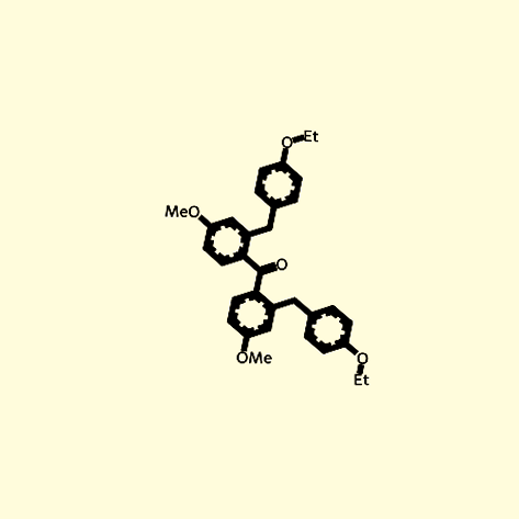 CCOc1ccc(Cc2cc(OC)ccc2C(=O)c2ccc(OC)cc2Cc2ccc(OCC)cc2)cc1